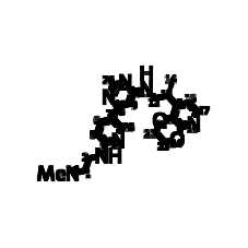 CNCCNc1ccc(-c2cc(NC[C@@H](C)c3ccnc4c3OCCO4)ncn2)cn1